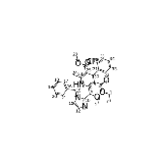 CCOC(=O)C1=C(C(OC)c2nccn2Cc2ccccc2)NC(C)=C(C(=O)OC)C1c1ccccc1Cl